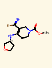 CC(C)(C)OC(=O)N1CCC(N[C@H]2CCOC2)=C(C(=N)Br)C1